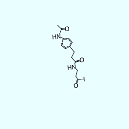 CC(=O)Nc1ccc(CCC(=O)NCCC(=O)I)cc1